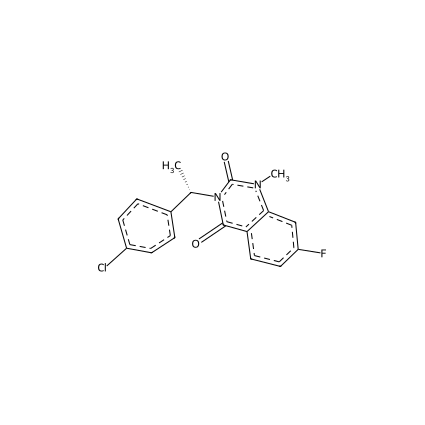 C[C@@H](c1ccc(Cl)cc1)n1c(=O)c2ccc(F)cc2n(C)c1=O